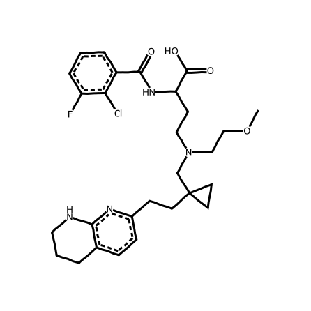 COCCN(CCC(NC(=O)c1cccc(F)c1Cl)C(=O)O)CC1(CCc2ccc3c(n2)NCCC3)CC1